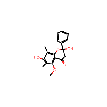 COc1c(C)c(O)c(C)c2c1C(=O)CC(O)(c1ccccc1)O2